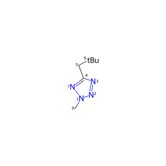 Cn1nnc(CC(C)(C)C)n1